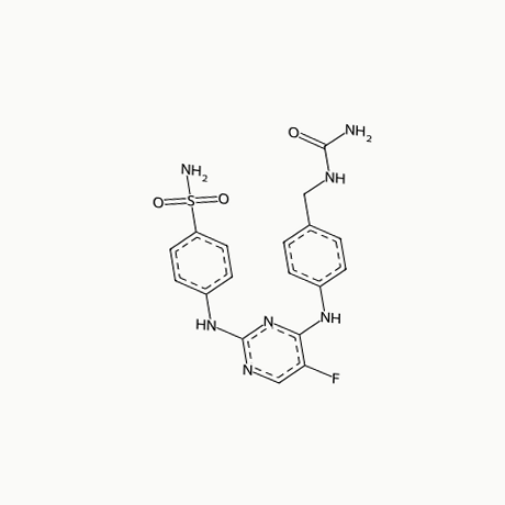 NC(=O)NCc1ccc(Nc2nc(Nc3ccc(S(N)(=O)=O)cc3)ncc2F)cc1